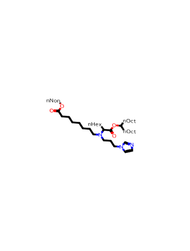 CCCCCCCCCOC(=O)CCCCCCCN(CCCn1ccnc1)C(CCCCCC)C(=O)OC(CCCCCCCC)CCCCCCCC